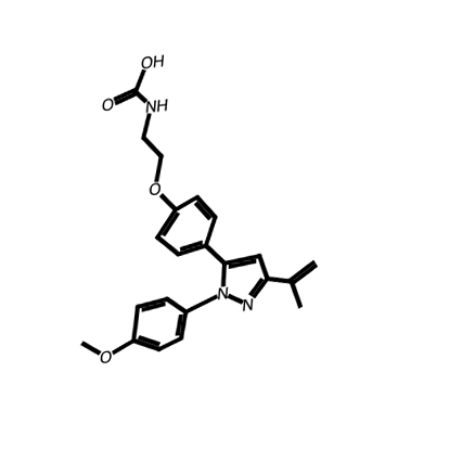 C=C(C)c1cc(-c2ccc(OCCNC(=O)O)cc2)n(-c2ccc(OC)cc2)n1